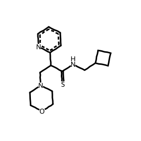 S=C(NCC1CCC1)C(CN1CCOCC1)c1ccccn1